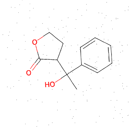 CC(O)(c1ccccc1)C1CCOC1=O